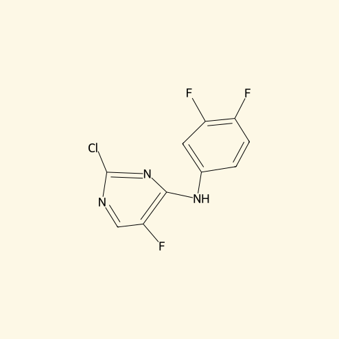 Fc1ccc(Nc2nc(Cl)ncc2F)cc1F